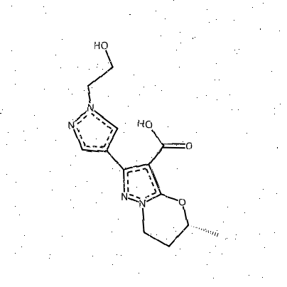 C[C@@H]1CCn2nc(-c3cnn(CCO)c3)c(C(=O)O)c2O1